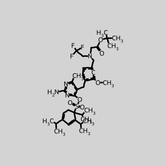 COc1cc(CN(CC(=O)OC(C)(C)C)CC(F)(F)F)ccc1Cc1c(C)nc(N)nc1OS(=O)(=O)C1(C(C)C)CC=C(C(C)C)C=C1C(C)C